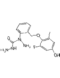 Cc1cc(O)cc(F)c1OCc1ccccc1N(N)C(=O)NN